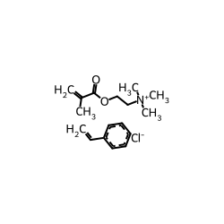 C=C(C)C(=O)OCC[N+](C)(C)C.C=Cc1ccccc1.[Cl-]